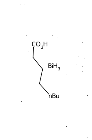 CCCCCCCC(=O)O.[BiH3]